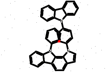 c1ccc(-n2c3ccccc3c3ccc4ccn(-c5ccc(-n6c7ccccc7c7ccccc76)cc5)c4c32)cc1